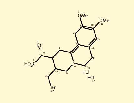 CC[C@@H](C(=O)O)C1CC2=C3CC(OC)=C(OC)C=C3CCN2CC1CC(C)C.Cl.Cl